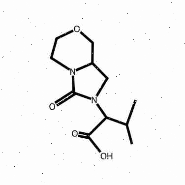 CC(C)C(C(=O)O)N1CC2COCCN2C1=O